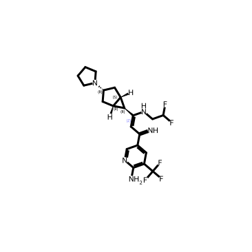 N=C(/C=C(\NCC(F)F)[C@H]1[C@@H]2C[C@H](N3CCCC3)C[C@@H]21)c1cnc(N)c(C(F)(F)F)c1